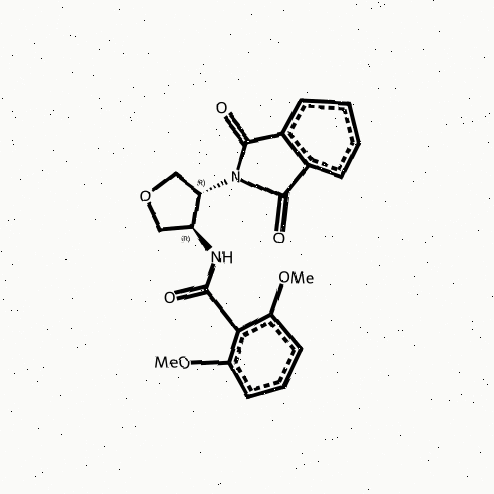 COc1cccc(OC)c1C(=O)N[C@H]1COC[C@@H]1N1C(=O)c2ccccc2C1=O